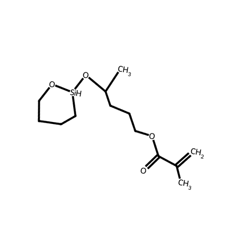 C=C(C)C(=O)OCCCC(C)O[SiH]1CCCCO1